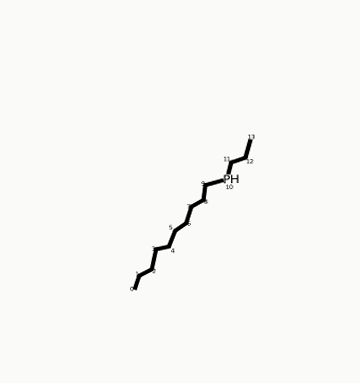 CCCCCCCCCCPCCC